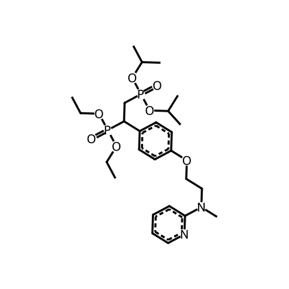 CCOP(=O)(OCC)C(CP(=O)(OC(C)C)OC(C)C)c1ccc(OCCN(C)c2ccccn2)cc1